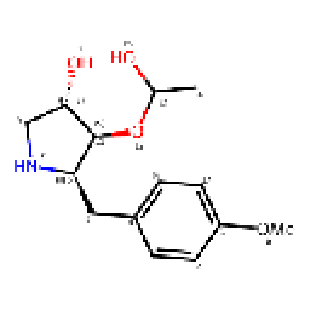 COc1ccc(C[C@H]2NC[C@H](O)[C@H]2OC(C)O)cc1